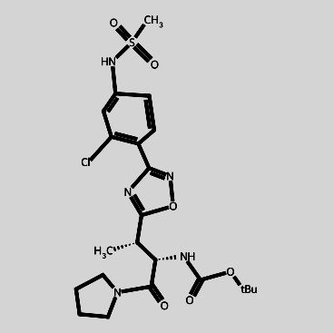 C[C@H](c1nc(-c2ccc(NS(C)(=O)=O)cc2Cl)no1)[C@H](NC(=O)OC(C)(C)C)C(=O)N1CCCC1